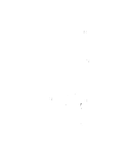 O=c1c2cc(Cc3ccnc(-c4cncs4)c3)c3ccccc3c2ncn1[C@H]1CCOC[C@@H]1O